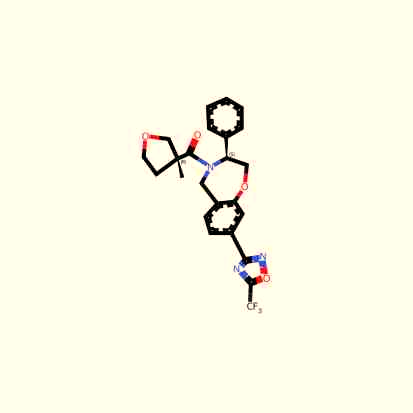 C[C@@]1(C(=O)N2Cc3ccc(-c4noc(C(F)(F)F)n4)cc3OC[C@@H]2c2ccccc2)CCOC1